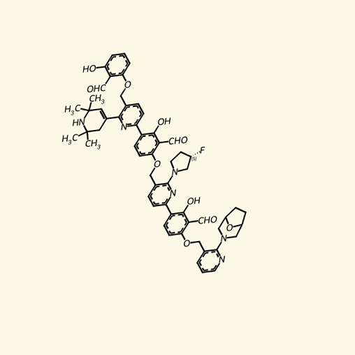 CC1(C)C=C(c2nc(-c3ccc(OCc4ccc(-c5ccc(OCc6cccnc6N6CC7CCC(C6)O7)c(C=O)c5O)nc4N4CC[C@H](F)C4)c(C=O)c3O)ccc2COc2cccc(O)c2C=O)CC(C)(C)N1